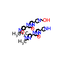 Cc1cn2cc(-c3cc(=O)n4nc(C5CCNCC5)ccc4n3)cc(C)c2n1.Cc1nc2ccc(-c3cc(=O)n4nc(C5CCN(CCO)CC5)ccc4n3)cc2o1